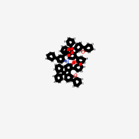 c1ccc(-c2ccc(N(c3cc4c(c5c3oc3ccccc35)-c3c(ccc5c3oc3ccccc35)C4(c3ccccc3)c3ccccc3)c3cc4c(c5c3oc3ccccc35)-c3c(ccc5c3oc3ccccc35)C4(c3ccccc3)c3ccccc3)c(-c3ccccc3)c2)cc1